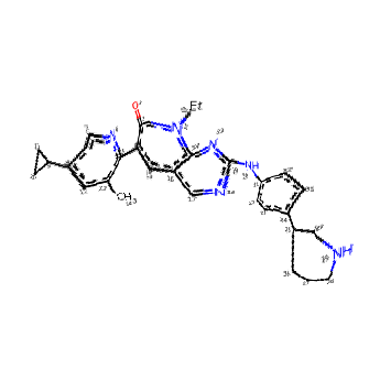 CCn1c(=O)c(-c2ncc(C3CC3)cc2C)cc2cnc(Nc3ccc(C4CCCNC4)cc3)nc21